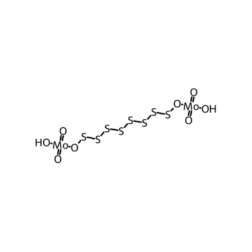 [O]=[Mo](=[O])([OH])[O]SSSSSSSS[O][Mo](=[O])(=[O])[OH]